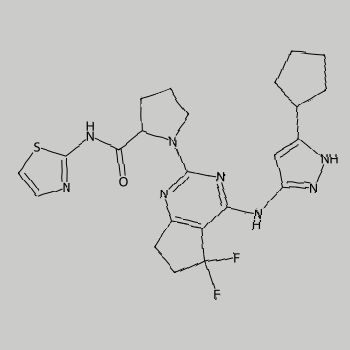 O=C(Nc1nccs1)C1CCCN1c1nc2c(c(Nc3cc(C4CCCC4)[nH]n3)n1)C(F)(F)CC2